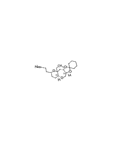 CCC12CC3OC4(CCCCC4)O[C@H]3CO[C@H]1CCC(CCC#N)O2